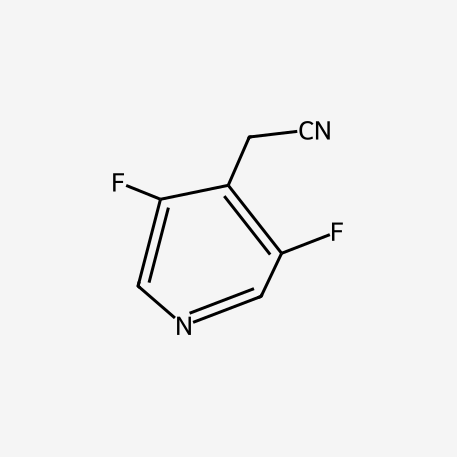 N#CCc1c(F)cncc1F